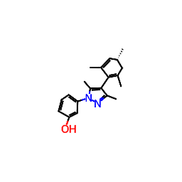 CC1=C[C@H](C)CC(C)=C1c1c(C)nn(-c2cccc(O)c2)c1C